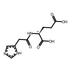 O=C(O)CC[C@H](NC(=O)Cc1cnc[nH]1)C(=O)O